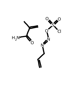 C=C(C)C(N)=O.C=CCN=NOS(=O)(=O)Cl